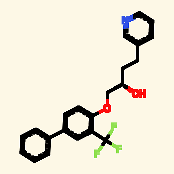 O[C@H](CCc1cccnc1)COc1ccc(-c2ccccc2)cc1C(F)(F)F